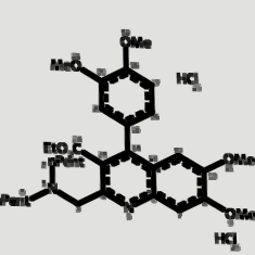 CCCCCN(CCCCC)Cc1nc2cc(OC)c(OC)cc2c(-c2ccc(OC)c(OC)c2)c1C(=O)OCC.Cl.Cl